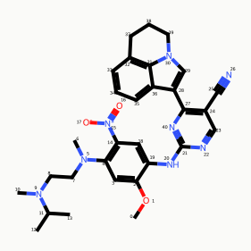 COc1cc(N(C)CCN(C)C(C)C)c([N+](=O)[O-])cc1Nc1ncc(C#N)c(-c2cn3c4c(cccc24)CCC3)n1